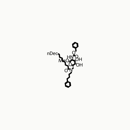 CCCCCCCCCCCCCCCCCC(=O)N(CCCCc1ccccc1)C[C@H]1O[C@H](OC)[C@H](NC(=O)OCc2ccccc2)[C@@H](O)[C@@H]1O